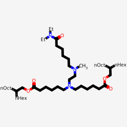 CCCCCCCCC(CCCCCC)COC(=O)CCCCCN(CCCCCC(=O)OCC(CCCCCC)CCCCCCCC)CCN(C)CCCCCC(=O)N(CC)CC